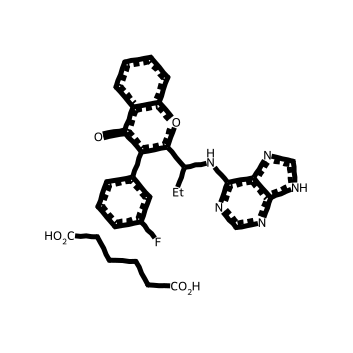 CCC(Nc1ncnc2[nH]cnc12)c1oc2ccccc2c(=O)c1-c1cccc(F)c1.O=C(O)CCCCC(=O)O